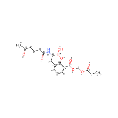 CCC(=O)OCOC(=O)c1cccc2c1OB(O)C(NC(=O)CCCC(C)=O)C2